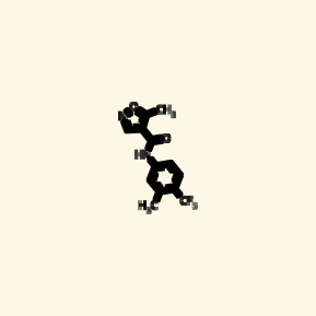 Cc1cc(NC(=O)c2cnoc2C)ccc1C(F)(F)F